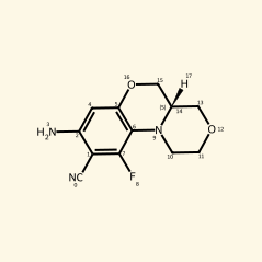 N#Cc1c(N)cc2c(c1F)N1CCOC[C@H]1CO2